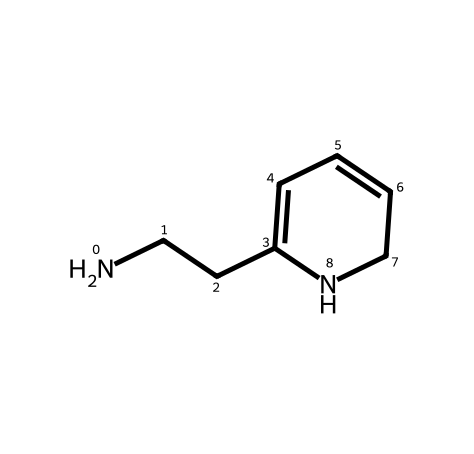 NCCC1=CC=CCN1